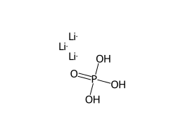 O=P(O)(O)O.[Li].[Li].[Li]